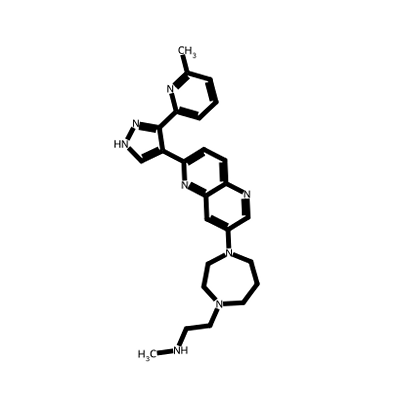 CNCCN1CCCN(c2cnc3ccc(-c4c[nH]nc4-c4cccc(C)n4)nc3c2)CC1